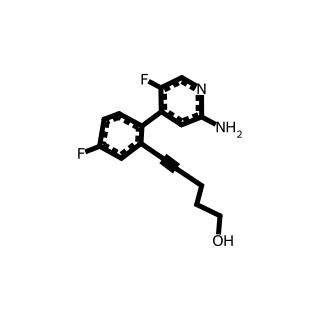 Nc1cc(-c2ccc(F)cc2C#CCCCO)c(F)cn1